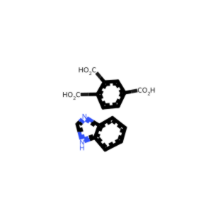 O=C(O)c1ccc(C(=O)O)c(C(=O)O)c1.c1ccc2[nH]cnc2c1